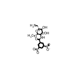 COC1O[C@H](CN)[C@@H](O)[C@H](O)[C@H]1NC(=O)c1cc([N+](=O)[O-])cc([N+](=O)[O-])c1